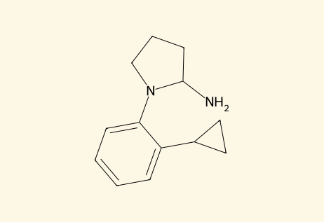 NC1CCCN1c1ccccc1C1CC1